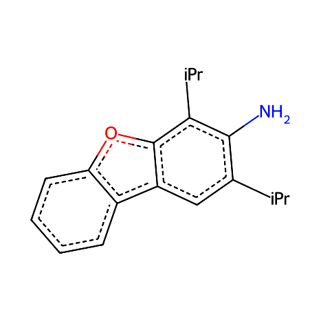 CC(C)c1cc2c(oc3ccccc32)c(C(C)C)c1N